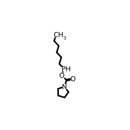 CCCCCCPOC(=O)N1CCCC1